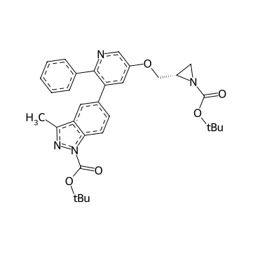 Cc1nn(C(=O)OC(C)(C)C)c2ccc(-c3cc(OC[C@@H]4CN4C(=O)OC(C)(C)C)cnc3-c3ccccc3)cc12